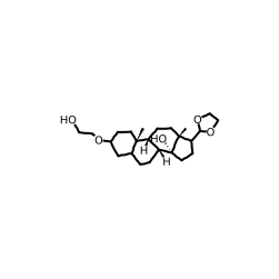 C[C@]12CCC(OCCO)CC1CC[C@@H]1[C@H]2CC[C@]2(C)C(C3OCCO3)CC[C@@]12O